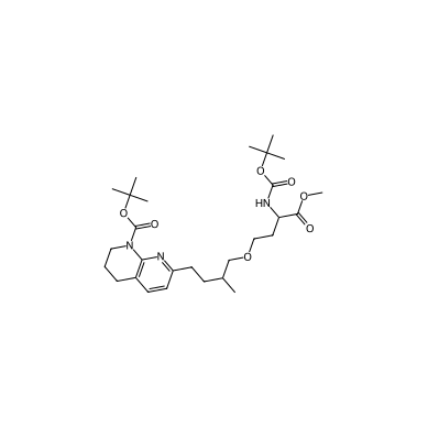 COC(=O)C(CCOCC(C)CCc1ccc2c(n1)N(C(=O)OC(C)(C)C)CCC2)NC(=O)OC(C)(C)C